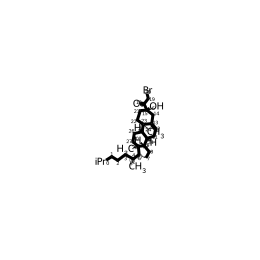 CC(C)CCC[C@@H](C)[C@H]1CC[C@H]2[C@@H]3CC=C4CC(O)(C(=O)CBr)CC[C@]4(C)[C@H]3CC[C@]12C